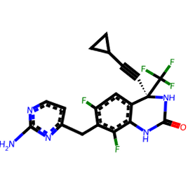 Nc1nccc(Cc2c(F)cc3c(c2F)NC(=O)N[C@]3(C#CC2CC2)C(F)(F)F)n1